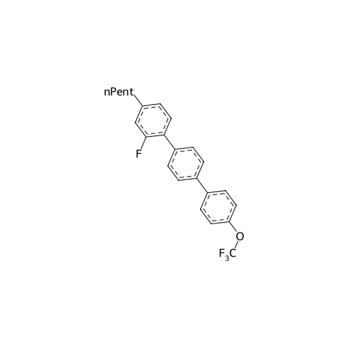 CCCCCc1ccc(-c2ccc(-c3ccc(OC(F)(F)F)cc3)cc2)c(F)c1